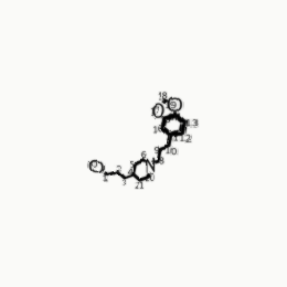 O=CCCC1CCN(CCCc2ccc3c(c2)OCO3)CC1